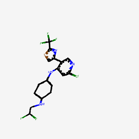 FC(F)CNC1CCC(Nc2cc(Cl)ncc2-c2csc(C(F)(F)F)n2)CC1